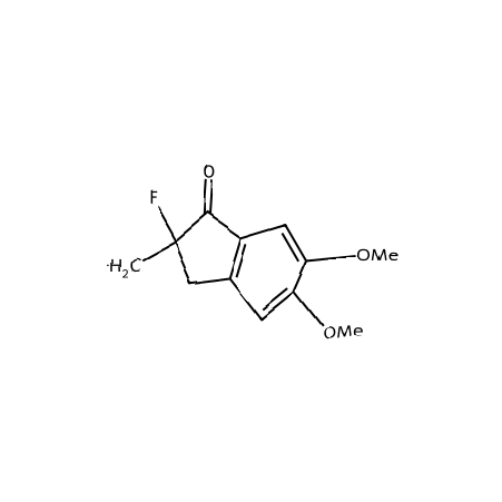 [CH2]C1(F)Cc2cc(OC)c(OC)cc2C1=O